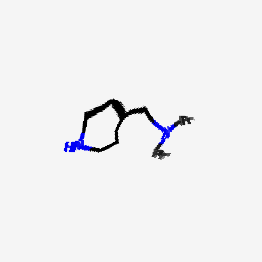 CC(C)N(CC1CCNCC1)C(C)C